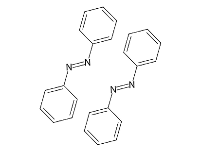 c1ccc(N=Nc2ccccc2)cc1.c1ccc(N=Nc2ccccc2)cc1